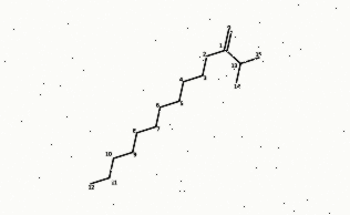 C=C(CCCCCCCCCCC)C(C)C